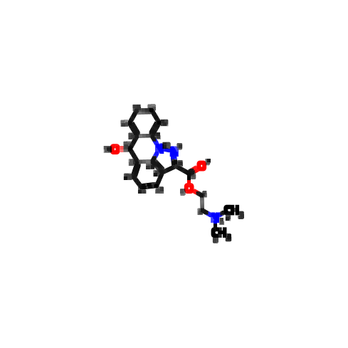 CN(C)CCOC(=O)c1nn2c3ccccc3c(=O)c3cccc1c32